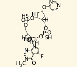 Cn1cnc2c(c(F)cn2[C@@H]2O[C@@H]3COP(=O)(S)O[C@H]4C[C@H](Oc5ccncn5)C[C@@H]4COP(=O)(S)O[C@@H]2[C@@H]3O)c1=O